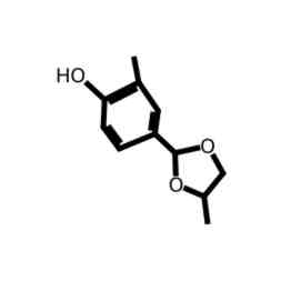 Cc1cc(C2OCC(C)O2)ccc1O